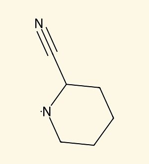 N#CC1CCCC[N]1